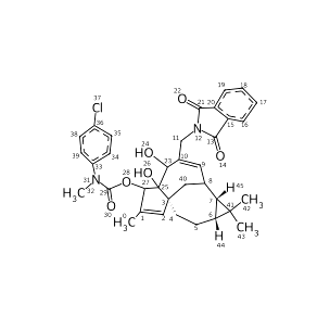 CC1=C[C@@]23CC[C@@H]4[C@H](C(C=C(CN5C(=O)c6ccccc6C5=O)C(O)C2(O)C1OC(=O)N(C)c1ccc(Cl)cc1)C3)C4(C)C